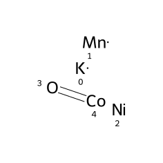 [K].[Mn].[Ni].[O]=[Co]